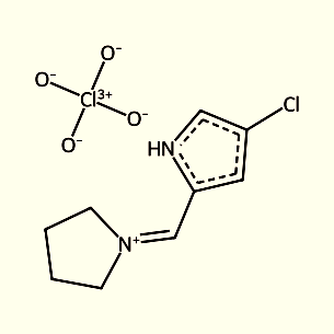 Clc1c[nH]c(C=[N+]2CCCC2)c1.[O-][Cl+3]([O-])([O-])[O-]